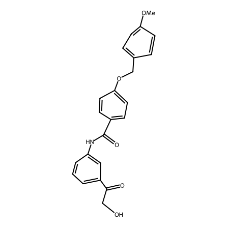 COc1ccc(COc2ccc(C(=O)Nc3cccc(C(=O)CO)c3)cc2)cc1